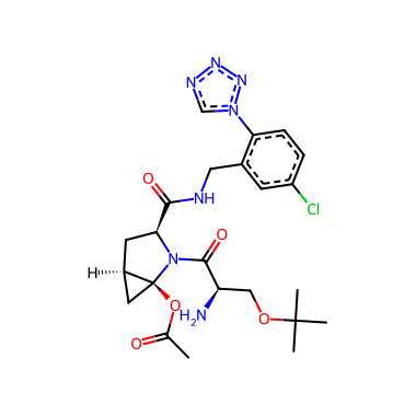 CC(=O)O[C@@]12C[C@H]1C[C@@H](C(=O)NCc1cc(Cl)ccc1-n1cnnn1)N2C(=O)[C@H](N)COC(C)(C)C